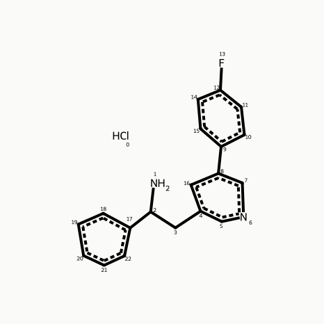 Cl.NC(Cc1cncc(-c2ccc(F)cc2)c1)c1ccccc1